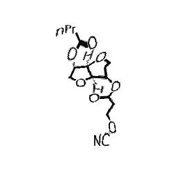 CCCC(=O)O[C@H]1CO[C@H]2[C@@H]1OC[C@H]2OC(=O)CCOC#N